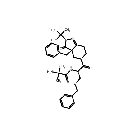 CC(C)(N)C(=O)N[C@H](COCc1ccccc1)C(=O)N1CCC2=NN(C(C)(C)C)C(=O)[C@@]2(Cc2ccccc2)C1